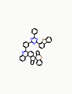 c1ccc(-c2nc(-c3cccc(-c4nc5ccccc5c5c6c(ccc45)C4(c5ccccc5Sc5ccccc54)c4ccccc4-6)c3)nc(-c3cccc4c3sc3ccccc34)n2)cc1